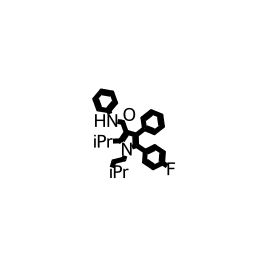 CC(C)CCn1c(-c2ccc(F)cc2)c(-c2ccccc2)c(C(=O)Nc2ccccc2)c1C(C)C